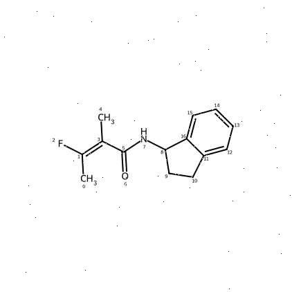 C/C(F)=C(/C)C(=O)NC1CCc2ccccc21